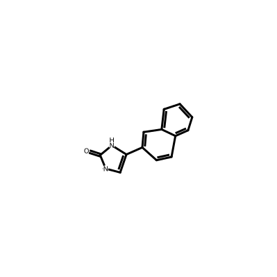 O=C1[N]C=C(c2ccc3ccccc3c2)N1